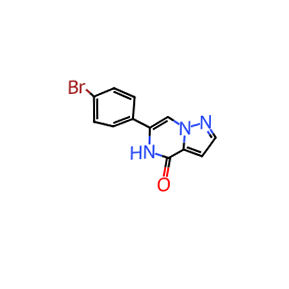 O=c1[nH]c(-c2ccc(Br)cc2)cn2nccc12